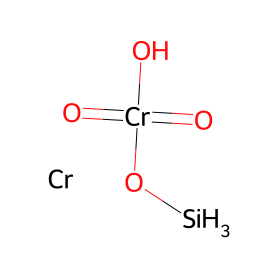 [Cr].[O]=[Cr](=[O])([OH])[O][SiH3]